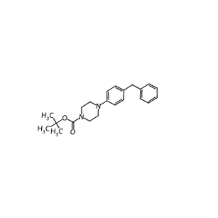 CC(C)(C)OC(=O)N1CCN(c2ccc(Cc3ccccc3)cc2)CC1